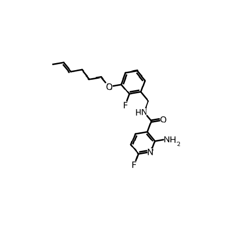 C/C=C/CCCOc1cccc(CNC(=O)c2ccc(F)nc2N)c1F